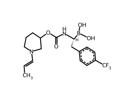 CC=CN1CCCC(OC(=O)N[C@@H](Cc2ccc(C(F)(F)F)cc2)B(O)O)C1